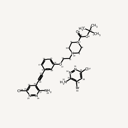 CC(C)(C)OC(=O)N1CCN(CCOc2cccc(C#Cc3cc(Cl)nnc3N)c2)CC1.Nc1nnc(Cl)cc1Br